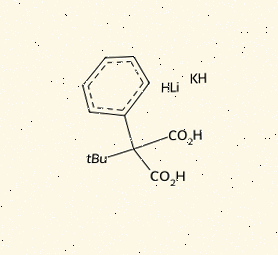 CC(C)(C)C(C(=O)O)(C(=O)O)c1ccccc1.[KH].[LiH]